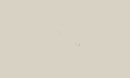 Nc1nccs1.P